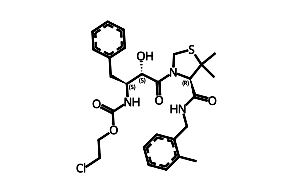 Cc1ccccc1CNC(=O)[C@H]1N(C(=O)[C@@H](O)[C@H](Cc2ccccc2)NC(=O)OCCCl)CSC1(C)C